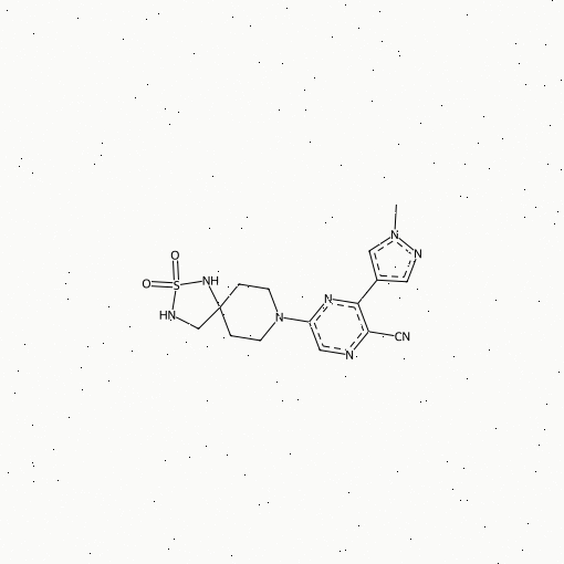 Cn1cc(-c2nc(N3CCC4(CC3)CNS(=O)(=O)N4)cnc2C#N)cn1